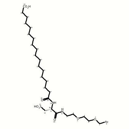 CC(=O)COCCOCCNC(=O)[C@H](CS(=O)(=O)O)NC(=O)CCCCCCCCCCCCCCCCC(=O)O